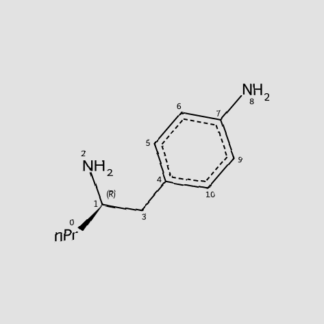 CCC[C@@H](N)Cc1ccc(N)cc1